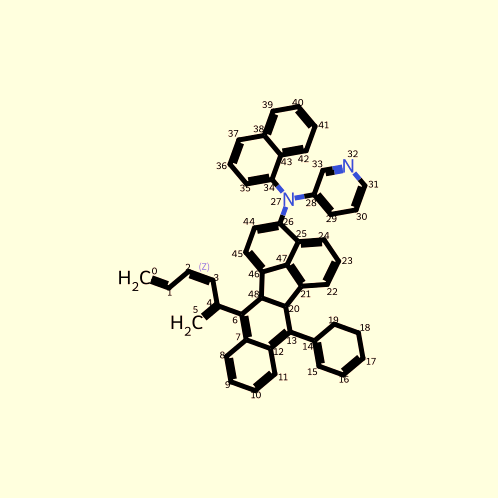 C=C/C=C\C(=C)C1=c2ccccc2=C(C2=CC=CCC2)C2c3cccc4c(N(c5cccnc5)c5cccc6ccccc56)ccc(c34)C12